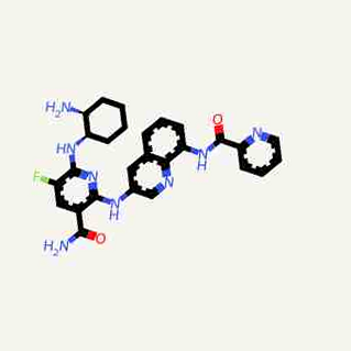 NC(=O)c1cc(F)c(N[C@@H]2CCCC[C@@H]2N)nc1Nc1cnc2c(NC(=O)c3ccccn3)cccc2c1